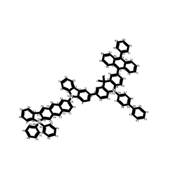 CC1(C)c2cc(-c3ccc4c(c3)c3ccccc3n4-c3ccc4cc5cc6c(cc5cc4c3)-c3ccccc3[Si]6(c3ccccc3)c3ccccc3)ccc2N(c2ccc(-c3ccccc3)cc2)c2ccc(-c3c4ccccc4c(-c4ccccc4)c4ccccc34)cc21